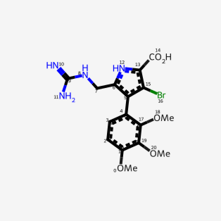 COc1ccc(-c2c(CNC(=N)N)[nH]c(C(=O)O)c2Br)c(OC)c1OC